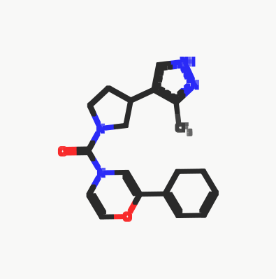 O=C(N1C=COC(C2=CC=CCC2)=C1)N1CCC(c2c[nH]nc2C(F)(F)F)C1